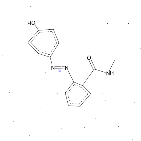 CNC(=O)c1ccccc1/N=N/c1ccc(O)cc1